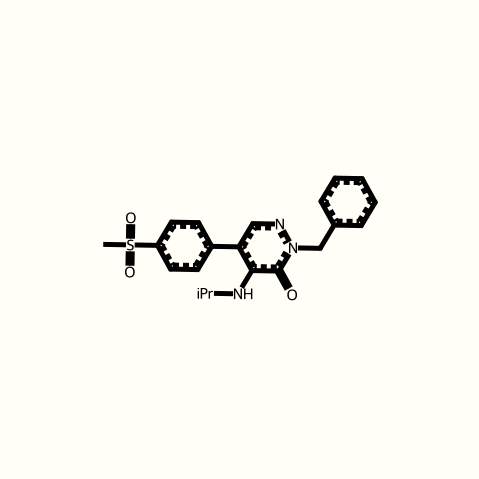 CC(C)Nc1c(-c2ccc(S(C)(=O)=O)cc2)cnn(Cc2ccccc2)c1=O